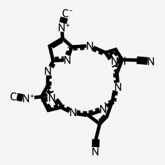 [C-]#[N+]C1=Cc2nc1nc1cc(C#N)c(nc3nc(nc4cc([N+]#[C-])c(n2)[nH]4)C(C#N)=C3)[nH]1